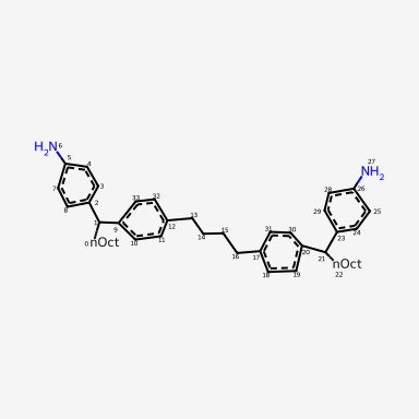 CCCCCCCCC(c1ccc(N)cc1)c1ccc(CCCCc2ccc(C(CCCCCCCC)c3ccc(N)cc3)cc2)cc1